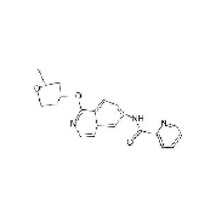 CC1CC(Oc2nccc3cc(NC(=O)c4ccccn4)ccc23)CCO1